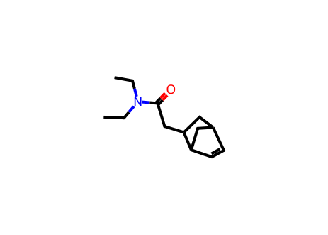 CCN(CC)C(=O)CC1CC2C=CC1C2